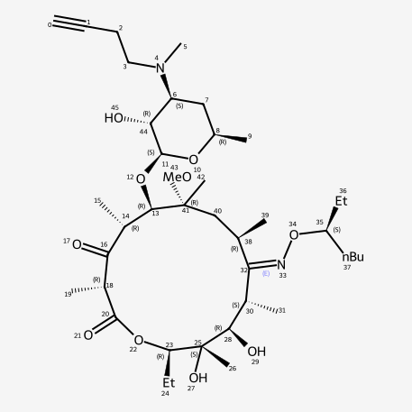 C#CCCN(C)[C@H]1C[C@@H](C)O[C@@H](O[C@@H]2[C@@H](C)C(=O)[C@@H](C)C(=O)O[C@H](CC)[C@@](C)(O)[C@H](O)[C@@H](C)/C(=N/O[C@@H](CC)CCCC)[C@H](C)C[C@@]2(C)OC)[C@@H]1O